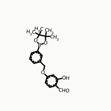 CC1(C)OB(c2cccc(COc3ccc(C=O)c(O)c3)c2)OC1(C)C